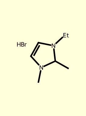 Br.CCN1C=CN(C)C1C